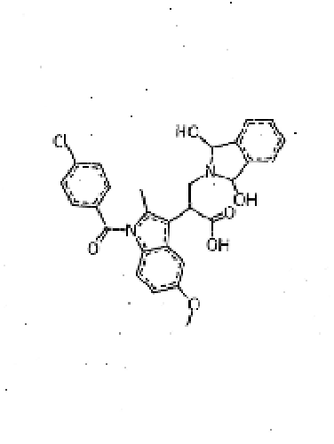 COc1ccc2c(c1)c(C(CN1C(O)c3ccccc3C1O)C(=O)O)c(C)n2C(=O)c1ccc(Cl)cc1